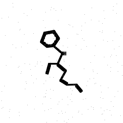 C=C/C=C\C=C(\Bc1ccccc1)C=C